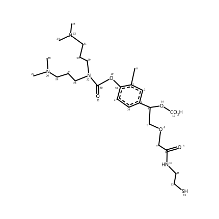 Cc1cc(C(COCC(=O)NCCS)OC(=O)O)ccc1OC(=O)N(CCCN(C)C)CCCN(C)C